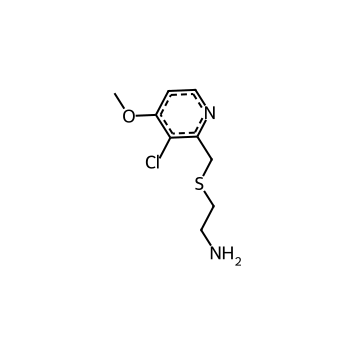 COc1ccnc(CSCCN)c1Cl